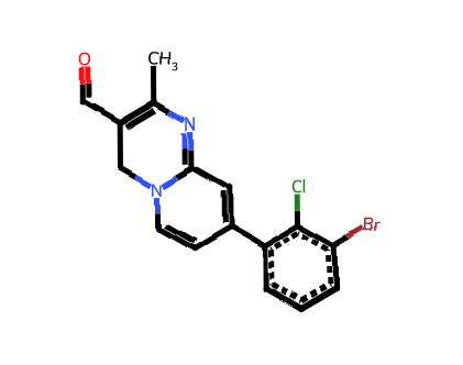 CC1=C(C=O)CN2C=CC(c3cccc(Br)c3Cl)=CC2=N1